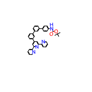 CC(C)(C)OC(=O)Nc1ccc(-c2cccc(-c3cccc(-c4cc(-c5ccccn5)nc(-c5ccccn5)c4)c3)c2)cc1